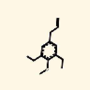 C=CCc1cc(CC)c(OC)c(CC)c1